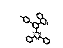 Cc1ccc(-c2cc(-c3nc(-c4ccccc4)nc(-c4ccccc4)n3)cc(-c3cncc4ccccc34)c2)cc1